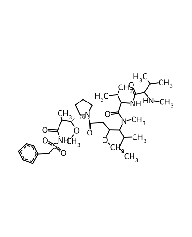 CCC(C)C(C(CC(=O)N1CCC[C@H]1C(OC)C(C)C(=O)NS(=O)(=O)Cc1ccccc1)OC)N(C)C(=O)C(NC(=O)C(NC)C(C)C)C(C)C